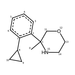 CC1(c2ccccc2C2CC2)COCCN1